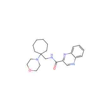 O=C(NCC1(N2CCOCC2)CCCCCC1)c1cnc2ccccc2n1